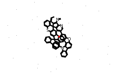 C=NC1=C(/C=C\C)C2(c3ccccc3Sc3cc4c(cc32)-c2ccccc2C42c3ccccc3-c3ccccc32)c2cc(-c3ccc4c(c3)oc3ccc5c6ccccc6n(-c6ccccc6)c5c34)cnc21